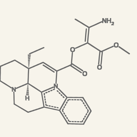 CC[C@@]12C=C(C(=O)O/C(C(=O)OC)=C(\C)N)n3c4c(c5ccccc53)CCN(CCC1)[C@H]42